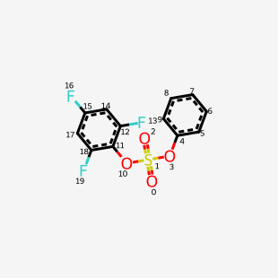 O=S(=O)(Oc1ccccc1)Oc1c(F)cc(F)cc1F